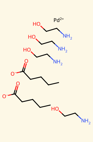 CCCCC(=O)[O-].CCCCC(=O)[O-].NCCO.NCCO.NCCO.NCCO.[Pd+2]